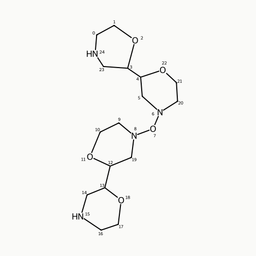 C1COC(C2CN(ON3CCOC(C4CNCCO4)C3)CCO2)CN1